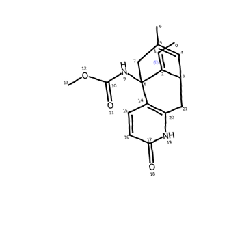 C/C=C1\C2C=C(C)CC1(NC(=O)OC)c1ccc(=O)[nH]c1C2